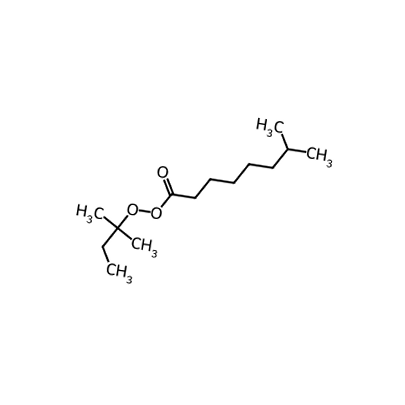 CCC(C)(C)OOC(=O)CCCCCC(C)C